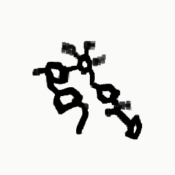 CCOc1ccc(Cc2cc([C@@H]3O[C@H](CSc4ccc(NC(=O)C5CCCC5)cc4)[C@@H](O)[C@H](O)[C@H]3O)ccc2Cl)cc1